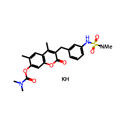 CNS(=O)(=O)Nc1cccc(Cc2c(C)c3cc(C)c(OC(=O)N(C)C)cc3oc2=O)c1.[KH]